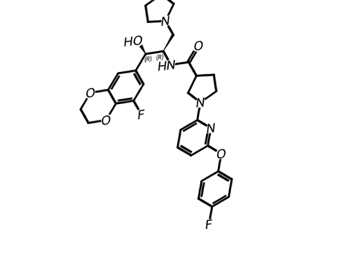 O=C(N[C@H](CN1CCCC1)[C@H](O)c1cc(F)c2c(c1)OCCO2)C1CCN(c2cccc(Oc3ccc(F)cc3)n2)C1